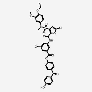 CCOc1ccc(N(C)S(=O)(=O)c2cc(Cl)sc2C(=O)Nc2cc(Cl)cc(C(=O)Oc3ccc(C(=O)c4ccc(O)cc4)cc3)c2)cc1OC